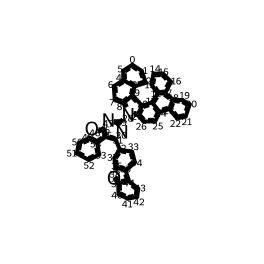 c1ccc2c(c1)ccc1c2c2c3c4ccccc4c4ccccc4c3ccc2n1-c1nc(-c2ccc3c(c2)oc2ccccc23)c2c(n1)oc1ccccc12